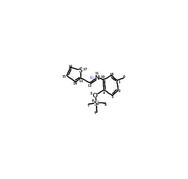 Cc1ccc(O[Si](C)(C)C)c(/N=C/c2cccs2)c1